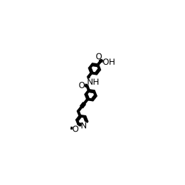 COc1cc(CC#Cc2cccc(C(=O)NCc3ccc(C(=O)O)cc3)c2)ccn1